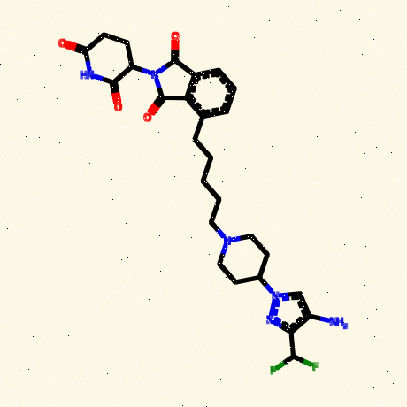 Nc1cn(C2CCN(CCCCCc3cccc4c3C(=O)N(C3CCC(=O)NC3=O)C4=O)CC2)nc1C(F)F